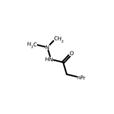 CCCCC(=O)NN(C)C